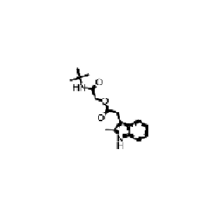 Cc1[nH]c2ccccc2c1CC(=O)OCC(=O)NC(C)(C)C